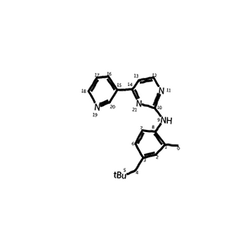 Cc1cc(CC(C)(C)C)ccc1Nc1nccc(-c2cccnc2)n1